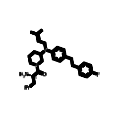 CC(C)=CCN(c1ccc(CCc2ccc(F)cc2)cc1)C1CCCN(C(=O)[C@@H](N)CC(C)C)C1